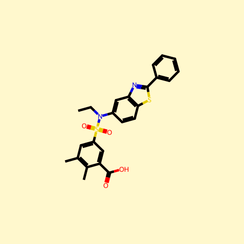 CCN(c1ccc2sc(-c3ccccc3)nc2c1)S(=O)(=O)c1cc(C)c(C)c(C(=O)O)c1